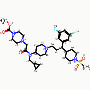 COC(=O)N1CCN(CC(=O)N(CC2CC2)C2CCN(CC[C@@H](c3cc(F)cc(F)c3)C3CCN(S(C)(=O)=O)CC3)CC2)CC1